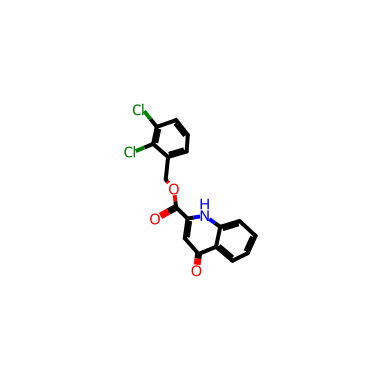 O=C(OCc1cccc(Cl)c1Cl)c1cc(=O)c2ccccc2[nH]1